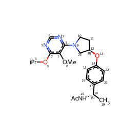 COc1c(OC(C)C)ncnc1N1CC[C@@H](Oc2ccc([C@H](C)NC(C)=O)cc2)C1